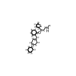 CNCCC(Oc1ccccc1CN1CCN(c2ccccc2)CC1)c1cccs1